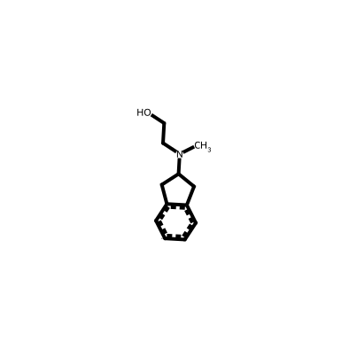 CN(CCO)C1Cc2c[c]ccc2C1